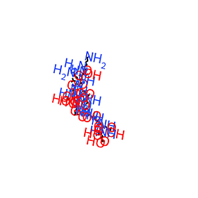 CC(C)C[C@H](NC(=O)[C@H](CCCCN)NC(=O)[C@H](CO)NC(=O)[C@@H](N)CCCCN)C(=O)NCC(=O)N[C@@H](CC(=O)O)C(=O)N[C@@H](C)C(=O)N[C@H](C(=O)N[C@H](C(=O)N[C@H](C(=O)N[C@@H](CO)C(=O)N[C@@H](CC(C)C)C(=O)N1CCC[C@H]1C(=O)NCC(=O)NCC(=O)N[C@@H](CCC(=O)O)C(=O)N[C@@H](CCC(=O)O)C(=O)O)C(C)C)[C@@H](C)O)C(C)C